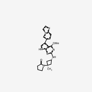 COc1nc(N[C@H]2C[C@](C)(N3CCCC3=O)C2)nc2[nH]cc(-c3ccc4nccn4c3)c12